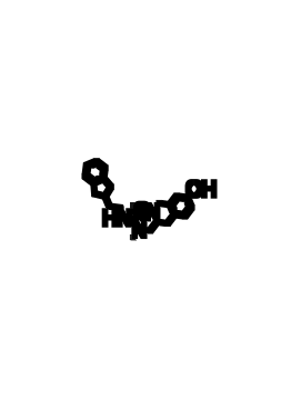 CN(CC1Cc2ccc(O)cc2CN1)C(=O)NCCC1Cc2ccccc2C1